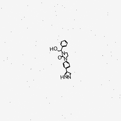 O=C1N(c2ccc(-c3cn[nH]c3)cc2)CCN1C(CO)c1ccccc1